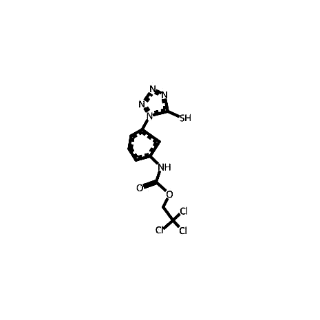 O=C(Nc1cccc(-n2nnnc2S)c1)OCC(Cl)(Cl)Cl